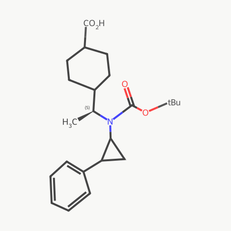 C[C@@H](C1CCC(C(=O)O)CC1)N(C(=O)OC(C)(C)C)C1CC1c1ccccc1